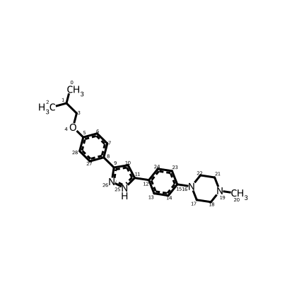 CC(C)COc1ccc(-c2cc(-c3ccc(N4CCN(C)CC4)cc3)[nH]n2)cc1